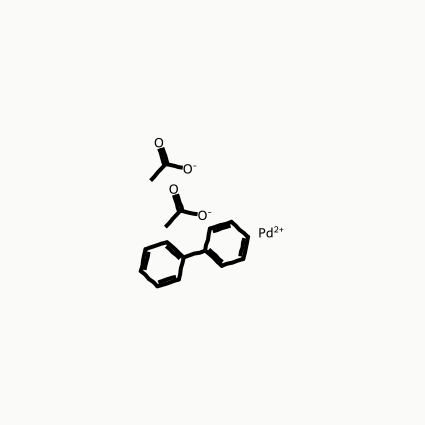 CC(=O)[O-].CC(=O)[O-].[Pd+2].c1ccc(-c2ccccc2)cc1